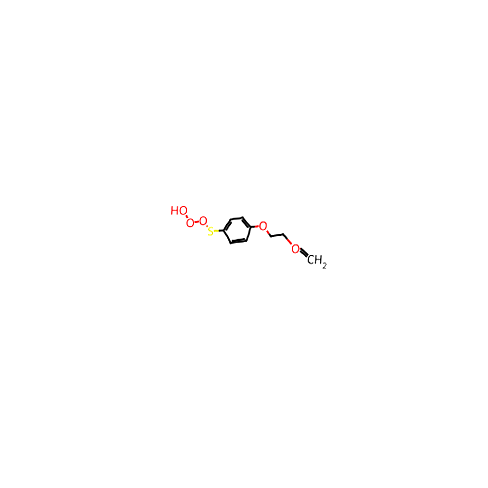 C=COCCOc1ccc(SOOO)cc1